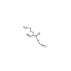 CCCCC(=O)C([C]=O)CCCC